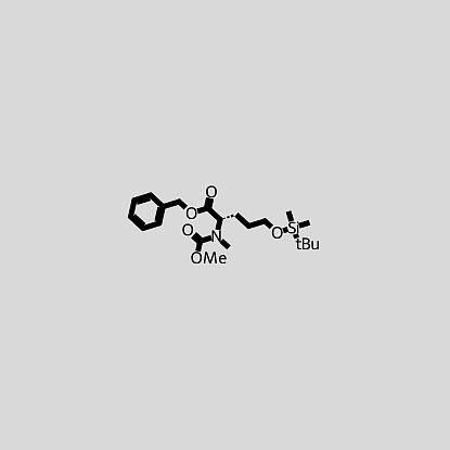 COC(=O)N(C)[C@@H](CCCO[Si](C)(C)C(C)(C)C)C(=O)OCc1ccccc1